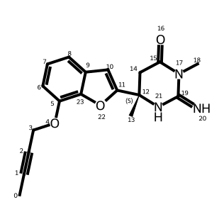 CC#CCOc1cccc2cc([C@]3(C)CC(=O)N(C)C(=N)N3)oc12